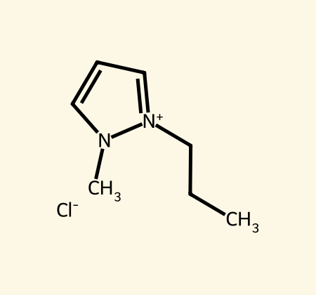 CCC[n+]1cccn1C.[Cl-]